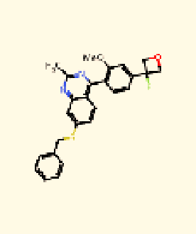 COc1cc(C2(F)COC2)ccc1-c1nc(C)nc2cc(SCc3ccccc3)ccc12